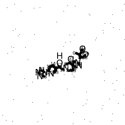 CC1=C(N2N=CC3(CCN(C[C@H](O)c4ccc(-n5cnnn5)nc4)CC3)C2=O)COC1=O